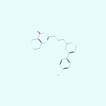 COc1ccc(C2=CCNC(CCCc3nc4c(c(=O)[nH]3)CSCC4)C2)cc1